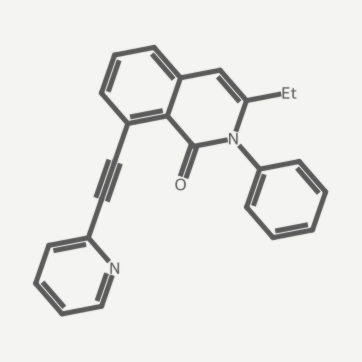 CCc1cc2cccc(C#Cc3ccccn3)c2c(=O)n1-c1ccccc1